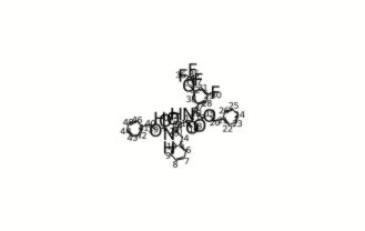 O=C(N[C@H](Cc1ccccc1)[C@H](O)C(=O)N[C@@H](C(=O)OCc1ccccc1)c1cc(F)cc(OC(F)(F)F)c1)OCc1ccccc1